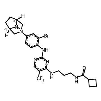 CN1[C@@H]2CC[C@H]1CN(c1ccc(Nc3ncc(C(F)(F)F)c(NCCCNC(=O)C4CCC4)n3)c(Br)c1)C2